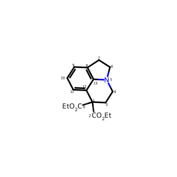 CCOC(=O)C1(C(=O)OCC)CCN2CCc3cccc1c32